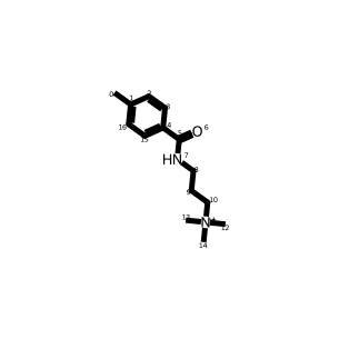 Cc1ccc(C(=O)NCCC[N+](C)(C)C)cc1